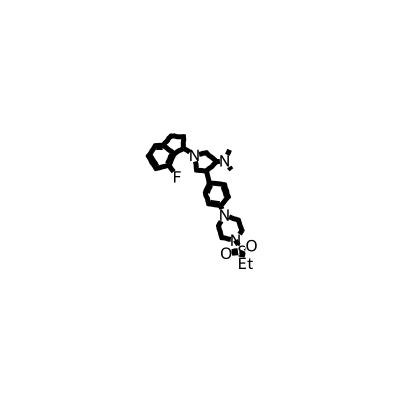 CCS(=O)(=O)N1CCN(c2ccc(C3CN(C4CCc5cccc(F)c54)CC3N(C)C)cc2)CC1